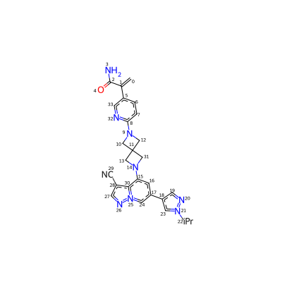 C=C(C(N)=O)c1ccc(N2CC3(C2)CN(c2cc(-c4cnn(C(C)C)c4)cn4ncc(C#N)c24)C3)nc1